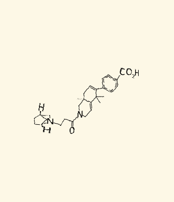 CC1(C)C(c2ccc(C(=O)O)cc2)=CC[C@]2(C)CN(C(=O)CCN3C[C@H]4CC[C@@H]3C4)CC=C12